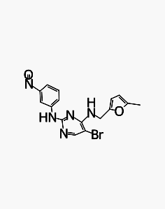 Cc1ccc(CNc2nc(Nc3cccc(N=O)c3)ncc2Br)o1